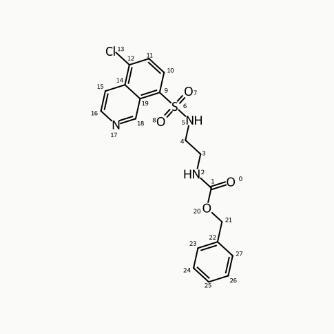 O=C(NCCNS(=O)(=O)c1ccc(Cl)c2ccncc12)OCc1ccccc1